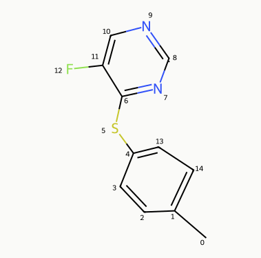 Cc1ccc(Sc2n[c]ncc2F)cc1